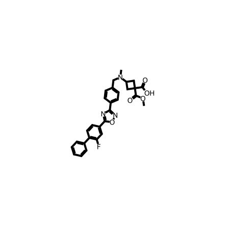 COC(=O)C1(C(=O)O)CC(N(C)Cc2ccc(-c3noc(-c4ccc(-c5ccccc5)c(F)c4)n3)cc2)C1